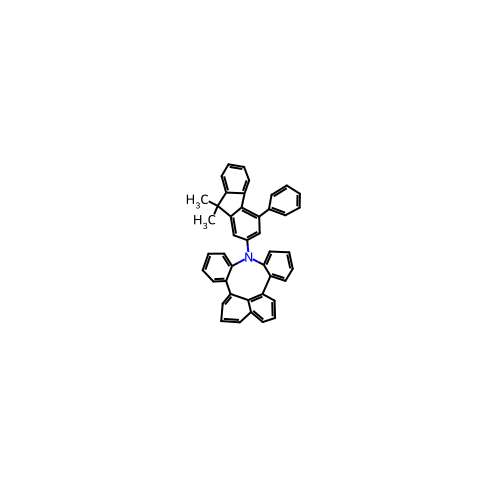 CC1(C)c2ccccc2-c2c(-c3ccccc3)cc(N3c4ccccc4-c4cccc5cccc(c45)-c4ccccc43)cc21